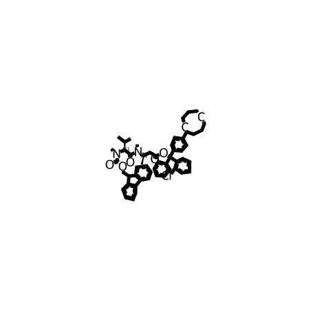 CC(C)[C@@H](C(=O)N(C)[C@H](C)CC(=O)OC(c1ccccc1)(c1ccc(C2CCCCCCCC2)cc1)c1ccccc1Cl)N(C)C(=O)OCC1c2ccccc2-c2ccccc21